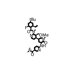 C=Cc1cc(C(C)(C)C)cc(F)c1C(=O)N(C)c1nccc(-c2cc(Nc3ccc(C(=O)N(C)C)cn3)c(=O)n(C)c2)c1COC